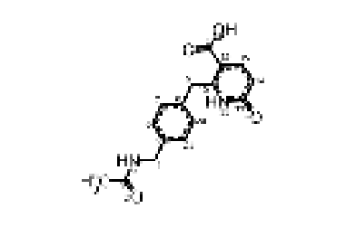 CC(=O)NCc1ccc(Cc2[nH]c(=O)ccc2C(=O)O)cc1